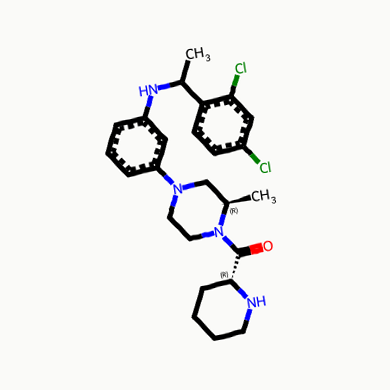 CC(Nc1cccc(N2CCN(C(=O)[C@H]3CCCCN3)[C@H](C)C2)c1)c1ccc(Cl)cc1Cl